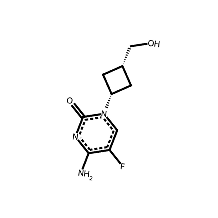 Nc1nc(=O)n([C@H]2C[C@@H](CO)C2)cc1F